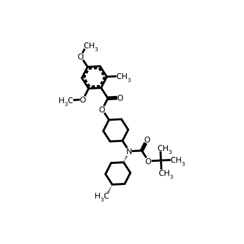 COc1cc(C)c(C(=O)OC2CCC(N(C(=O)OC(C)(C)C)[C@H]3CC[C@@H](C)CC3)CC2)c(OC)c1